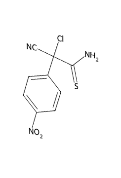 N#CC(Cl)(C(N)=S)c1ccc([N+](=O)[O-])cc1